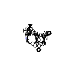 O=C(N[C@H]1CCCCC/C=C\[C@@H]2C[C@@]2(C(=O)NS(=O)(=O)C2CC2)NC(=O)[C@@H]2C[C@@H](Oc3cc(-c4ccoc4)nc4c5ccccc5nn34)CN2C1=O)OC1CCCC1